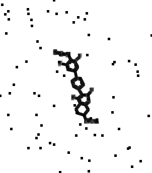 CCCCCC1CCc2c(cc(F)c(-c3ccc(-c4cc(F)c(N=C=S)c(F)c4)cc3)c2F)C1